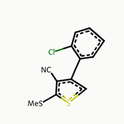 CSc1scc(-c2ccccc2Cl)c1C#N